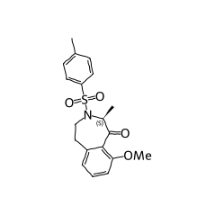 COc1cccc2c1C(=O)[C@H](C)N(S(=O)(=O)c1ccc(C)cc1)CC2